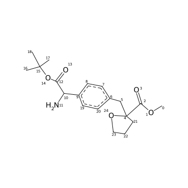 COC(=O)C1(Cc2ccc(C(N)C(=O)OC(C)(C)C)cc2)CCCO1